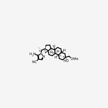 COC[C@@]1(O)CC[C@H]2[C@H](CC[C@@H]3[C@@H]2CC[C@]2(C)[C@@H]([C@@H](C)n4ncc(C#N)c4N)CC[C@@H]32)C1